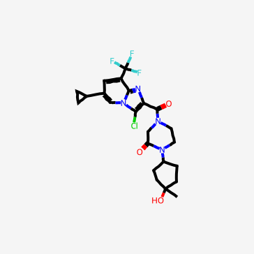 CC1(O)CCC(N2CCN(C(=O)c3nc4c(C(F)(F)F)cc(C5CC5)cn4c3Cl)CC2=O)CC1